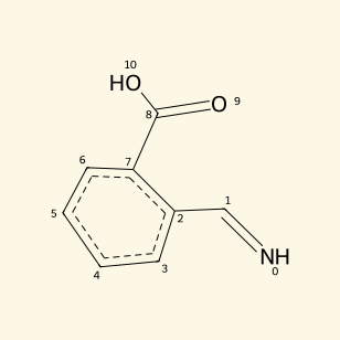 N=Cc1ccccc1C(=O)O